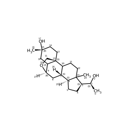 C[C@H](O)[C@H]1CC[C@H]2[C@@H]3C[C@H]4OC[C@@]5(CC[C@@](C)(O)CC45)C3CCC12C